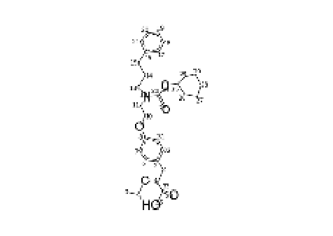 CCOC(Cc1ccc(OCCN(CCCc2ccccc2)C(=O)OC2CCCCC2)cc1)C(=O)O